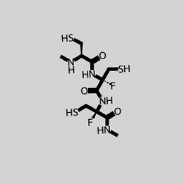 CNC(=O)[C@](F)(CS)NC(=O)[C@](F)(CS)NC(=O)[C@H](CS)NC